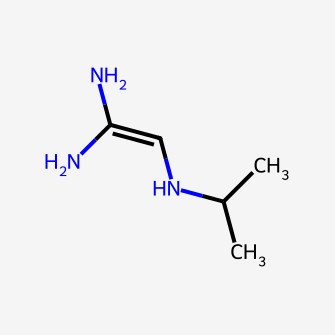 CC(C)NC=C(N)N